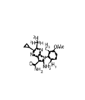 [2H]C([2H])([2H])c1nc2c(nc1C1CC1)c(C(N)=O)c(N)n2-c1c(C)ccc(OC)c1C